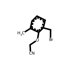 Cc1cccc(CBr)c1OCC#N